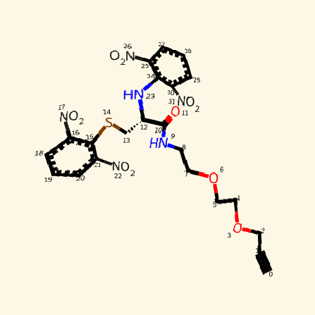 C#CCOCCOCCNC(=O)[C@H](CSc1c([N+](=O)[O-])cccc1[N+](=O)[O-])Nc1c([N+](=O)[O-])cccc1[N+](=O)[O-]